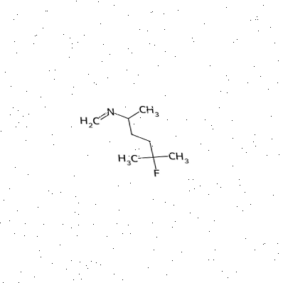 C=NC(C)CCC(C)(C)F